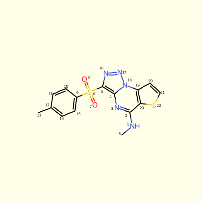 CNc1nc2c(S(=O)(=O)c3ccc(C)cc3)nnn2c2ccsc12